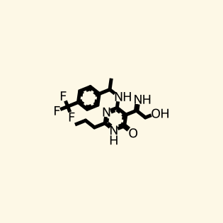 CCCc1nc(NC(C)c2ccc(C(F)(F)F)cc2)c(C(=N)CO)c(=O)[nH]1